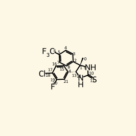 C[C@@]1(c2ccc(C(F)(F)F)cc2)NC(=S)N[C@@H]1c1ccc(Cl)c(F)c1